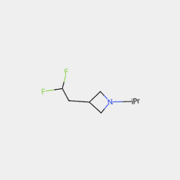 CC(C)N1CC(CC(F)F)C1